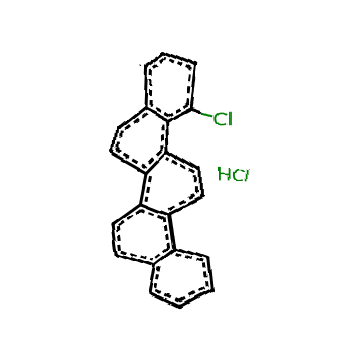 Cl.Clc1cc[c]c2ccc3c4ccc5ccccc5c4ccc3c12